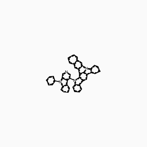 c1ccc(-n2c3ccccc3c3c(-n4c5ccccc5c5cc6c7ccccc7n7c8cc9ccccc9cc8c(c54)c67)cncc32)cc1